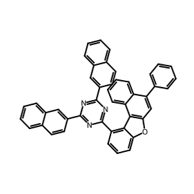 c1ccc(-c2cc3oc4cccc(-c5nc(-c6ccc7ccccc7c6)nc(-c6ccc7ccccc7c6)n5)c4c3c3ccccc23)cc1